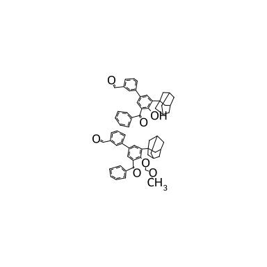 COCOc1c(C(=O)c2ccccc2)cc(-c2cccc(C=O)c2)cc1C12CC3CC(CC(C3)C1)C2.O=Cc1cccc(-c2cc(C(=O)c3ccccc3)c(O)c(C34CC5CC(CC(C5)C3)C4)c2)c1